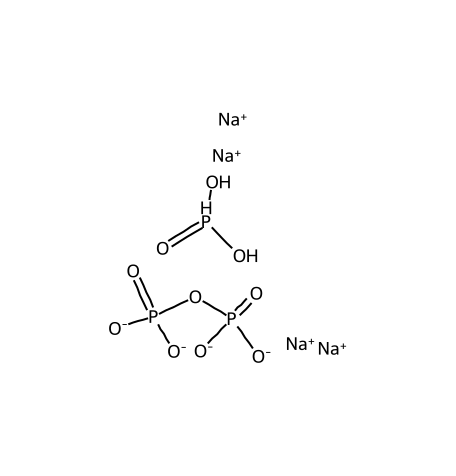 O=P([O-])([O-])OP(=O)([O-])[O-].O=[PH](O)O.[Na+].[Na+].[Na+].[Na+]